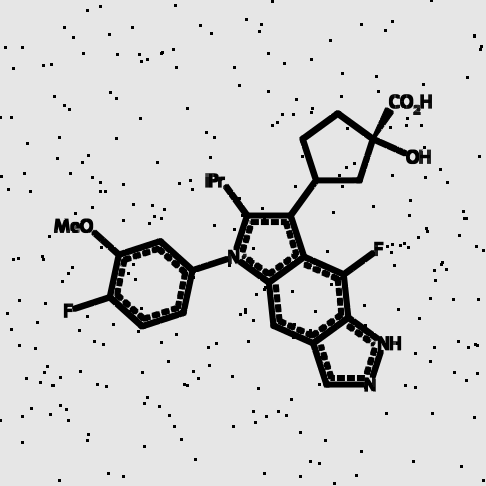 COc1cc(-n2c(C(C)C)c(C3CC[C@@](O)(C(=O)O)C3)c3c(F)c4[nH]ncc4cc32)ccc1F